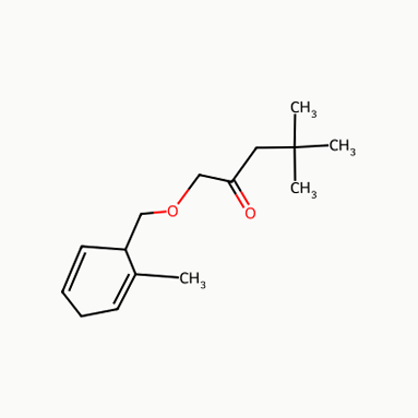 CC1=CCC=CC1COCC(=O)CC(C)(C)C